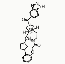 CN1CCC(c2ccccc2OCC(=O)N2CC[C@@H]3CN(C(=O)c4ccc5[nH]nnc5c4)C[C@@H]3CC2)C1